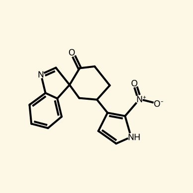 O=C1CCC(c2cc[nH]c2[N+](=O)[O-])CC12C=Nc1ccccc12